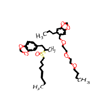 CCCCCCCC[S+]([O-])C(C)Cc1ccc2c(c1)OCO2.CCCCOCCOCCOCc1cc2c(cc1CCC)OCO2